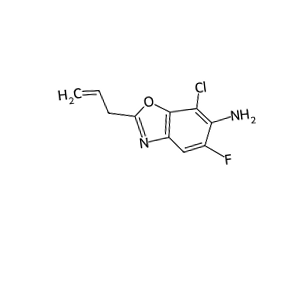 C=CCc1nc2cc(F)c(N)c(Cl)c2o1